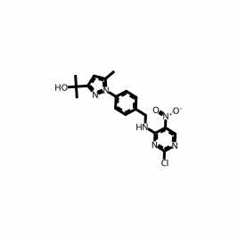 Cc1cc(C(C)(C)O)nn1-c1ccc(CNc2nc(Cl)ncc2[N+](=O)[O-])cc1